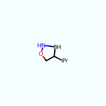 CC(C)C1BNOC1